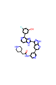 O=C(CC1CCNCC1)Nc1cncc(-c2cnc3[nH]nc(-c4nc5c(-c6cc(O)cc(F)c6)nccc5[nH]4)c3c2)c1